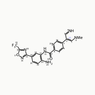 CN/C=C(\C=N)c1ccc(C(=O)Nc2cc(-c3noc(C(F)(F)F)n3)ccc2N)nc1